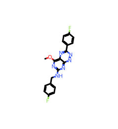 COc1nc(NCc2ccc(F)cc2)nc2nnc(-c3ccc(F)cc3)nc12